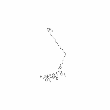 CCCCCCCCCCCCCC/C=C\CCCCCOC[C@H](COP(=O)([O-])OCC[N+](C)(C)C)OC